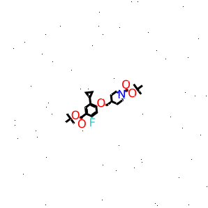 CC(C)(C)OC(=O)c1cc(C2CC2)c(OCC2CCN(C(=O)OC(C)(C)C)CC2)cc1F